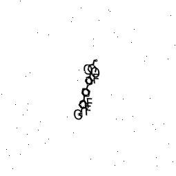 C=CC1COC(c2ccc(-c3ccc(-c4ccc(C5CO5)c(F)c4F)cc3)cc2F)OC1